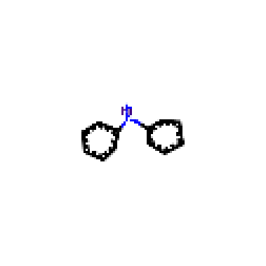 I.c1ccc(Nc2ccccc2)cc1